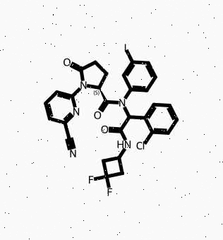 N#Cc1cccc(N2C(=O)CC[C@H]2C(=O)N(c2cccc(I)c2)C(C(=O)NC2CC(F)(F)C2)c2ccccc2Cl)n1